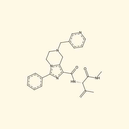 C=C(C)[C@H](NC(=O)c1nc(-c2ccccc2)n2c1CN(Cc1cccnc1)CC2)C(=O)NC